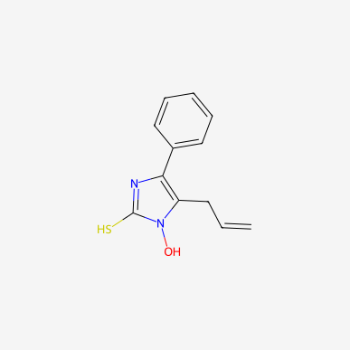 C=CCc1c(-c2ccccc2)nc(S)n1O